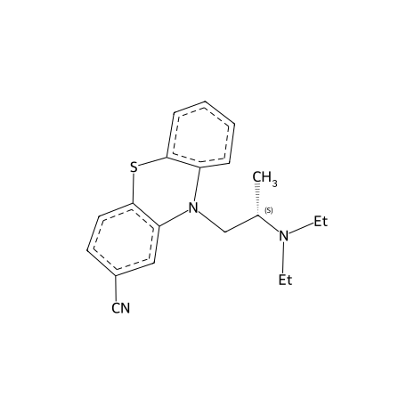 CCN(CC)[C@@H](C)CN1c2ccccc2Sc2ccc(C#N)cc21